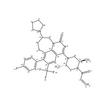 C=CC(=O)N1C[C@H](C)N(c2nc(=O)n3c4c(c(-c5ccc(F)cc5)c(C(F)(F)F)cc24)SCC(N2CCCC2)C3)C[C@H]1C